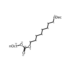 CCCCCCCCCCCCCCCCCCOC(=O)OCCCCCCCC